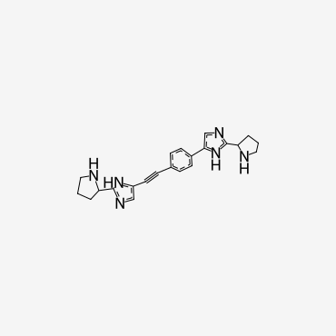 C(#Cc1cnc(C2CCCN2)[nH]1)c1ccc(-c2cnc(C3CCCN3)[nH]2)cc1